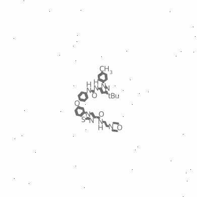 Cc1ccc(-n2nc(C(C)(C)C)cc2NC(=O)Nc2ccc(Oc3ccc4sc5nc(C(=O)NCCN6CCOCC6)cn5c4c3)cc2)cc1